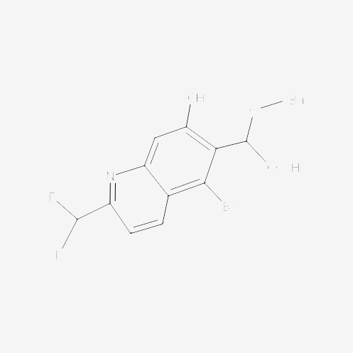 Cc1cc2nc(C(F)F)ccc2c(Br)c1C(OC(C)(C)C)C(=O)O